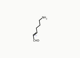 NCCC/C=C/[C]=O